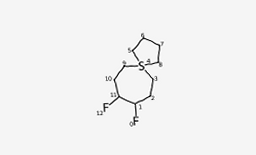 FC1CCS2(CCCC2)CCC1F